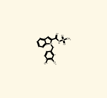 CS(=O)(=O)NC(=O)c1cc2ccccc2n1Cc1ccc(Cl)c(Cl)c1